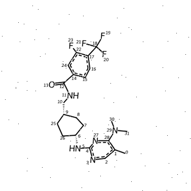 Cc1cnc(N[C@H]2CC[C@@H](CNC(=O)c3ccc(C(F)(F)F)c(F)c3)CC2)nc1N(C)C